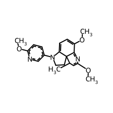 COC1=CC(C)C23CCN(c4ccc(OC)nc4)C2=CC=C(OC)C3=N1